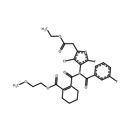 CCOC(=O)Cc1sc(F)c(N(C(=O)C2=C(C(=O)OCCOC)CCCC2)C(=O)c2cccc(F)c2)c1Cl